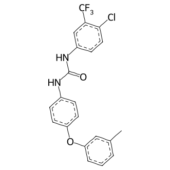 Cc1cccc(Oc2ccc(NC(=O)Nc3ccc(Cl)c(C(F)(F)F)c3)cc2)c1